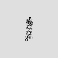 O=CNc1ccc(-c2ccc(S(=O)(=O)C(F)(F)F)cc2)cc1